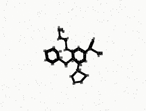 NOOSc1cc(C(O)=S)cc(N2CCCC2)c1Oc1ccccc1